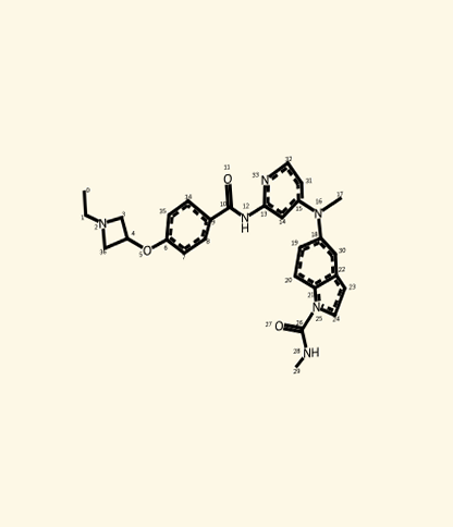 CCN1CC(Oc2ccc(C(=O)Nc3cc(N(C)c4ccc5c(ccn5C(=O)NC)c4)ccn3)cc2)C1